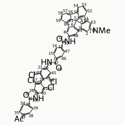 CNc1ccc(C2(c3ccc(NC(=O)c4ccc(C(=O)Nc5cc(Cl)c(-c6c(Cl)cc(NC(=O)c7ccc(C(C)=O)cc7)cc6Cl)c(Cl)c5)cc4)cc3)c3ccccc3-c3ccccc32)cc1